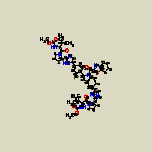 COC(=O)NC(C(=O)N1CCC[C@H]1c1ncc(-c2cc(F)c3c(c2)OC(c2nc4c(s2)CCCC4)n2c-3cc3cc(-c4cnc([C@@H]5CCCN5C(=O)C(NC(=O)OC)C(C)C)[nH]4)ccc32)[nH]1)C(C)C